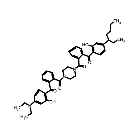 CCCCC(CC)c1ccc(C(=O)c2ccccc2C(=O)N2CCN(C(=O)c3ccccc3C(=O)c3ccc(N(CC)CC)cc3O)CC2)c(O)c1